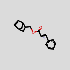 O=C(/C=C/c1ccccc1)OCC1CC2C=CC1C2